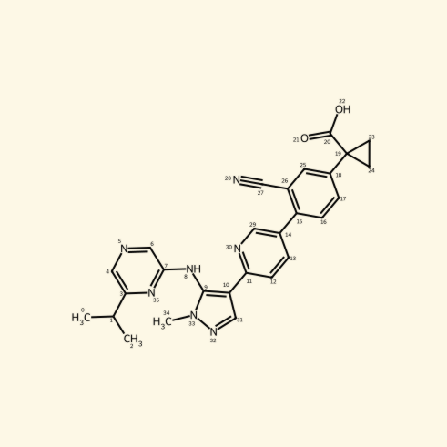 CC(C)c1cncc(Nc2c(-c3ccc(-c4ccc(C5(C(=O)O)CC5)cc4C#N)cn3)cnn2C)n1